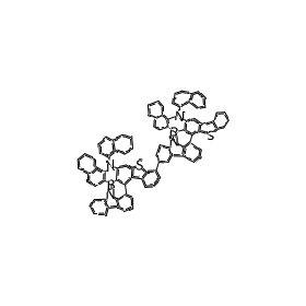 c1ccc2c(N3c4cc5c(sc6ccccc65)c5c4B(c4ccc6ccccc6c43)n3c4ccc(-c6cccc7c6sc6cc8c9c(c67)-c6cccc7c%10ccccc%10n(c67)B9c6ccc7ccccc7c6N8c6cccc7ccccc67)cc4c4cccc-5c43)cccc2c1